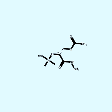 CC(C)(C)[Si](C)(C)O[C@H](COC(N)=O)C(=O)NN